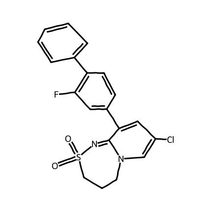 O=S1(=O)CCCN2C=C(Cl)C=C(c3ccc(-c4ccccc4)c(F)c3)C2=N1